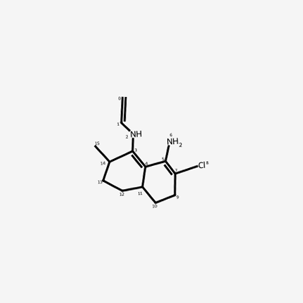 C=CNC1=C2C(N)=C(Cl)CCC2CCC1C